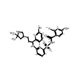 CC1(C)C[C@H](CCC(Nc2cccc(S(=O)(=O)NC(=O)c3ccc(C(C)(C)C)nc3F)n2)c2cccc(C(C)(C)C)n2)CN1